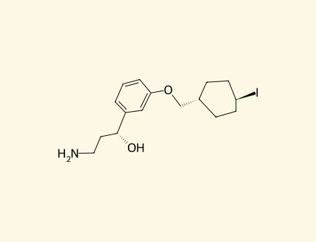 NCC[C@@H](O)c1cccc(OC[C@H]2CC[C@H](I)CC2)c1